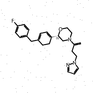 C=C(CCn1cccn1)N1CCO[C@@H](C2=CC=C(Cc3ccc(F)cc3)CC2)C1